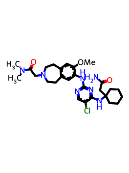 COc1cc2c(cc1Nc1ncc(Cl)c(NC3(CC(N)=O)CCCCC3)n1)CCN(CC(=O)N(C)C)CC2